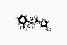 CCC1C=NN(C(=O)NS(=O)(=O)c2ccccc2C(F)(F)F)C1